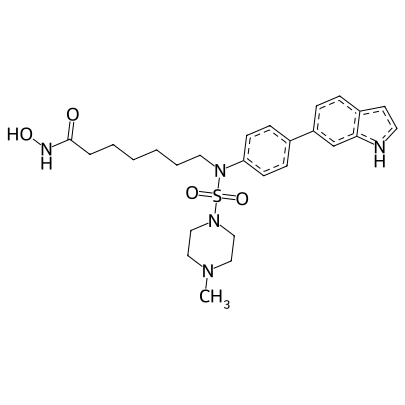 CN1CCN(S(=O)(=O)N(CCCCCCC(=O)NO)c2ccc(-c3ccc4cc[nH]c4c3)cc2)CC1